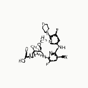 COC[C@@H](Nc1nc(Nc2cnc(N3CCOCC3)c(F)c2)c(C#N)cc1F)[C@H](C)NC(=O)O